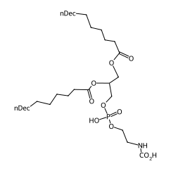 CCCCCCCCCCCCCCCC(=O)OCC(COP(=O)(O)OCCNC(=O)O)OC(=O)CCCCCCCCCCCCCCC